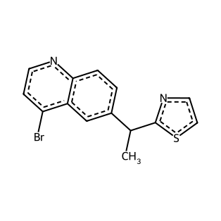 CC(c1ccc2nccc(Br)c2c1)c1nccs1